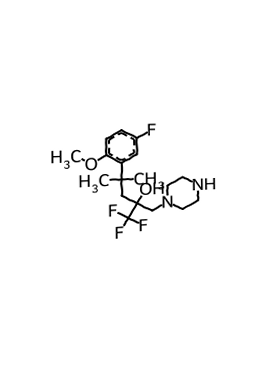 COc1ccc(F)cc1C(C)(C)CC(O)(CN1CCNCC1)C(F)(F)F